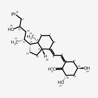 C=C1C(=CC=C2CCC[C@]3(C)[C@@H]([C@H](C)CC(O)CC(C)C)CC[C@@H]23)C[C@@H](O)C[C@@H]1O